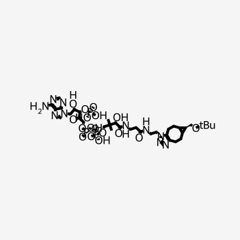 CC(C)(C)OC[C@H]1C2CCc3nnn(CCNC(=O)CCNC(=O)C(O)C(C)(C)COP(=O)(O)OP(=O)(O)OCC4OC(n5cnc6c(N)ncnc65)C(O)C4OP(=O)(O)O)c3CCC21